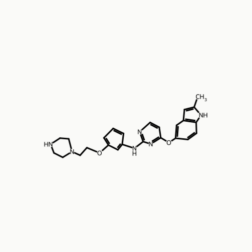 Cc1cc2cc(Oc3ccnc(Nc4cccc(OCCN5CCNCC5)c4)n3)ccc2[nH]1